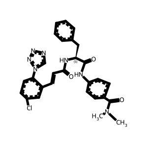 CN(C)C(=O)c1ccc(NC(=O)[C@H](Cc2ccccc2)NC(=O)C=Cc2cc(Cl)ccc2-n2cnnn2)cc1